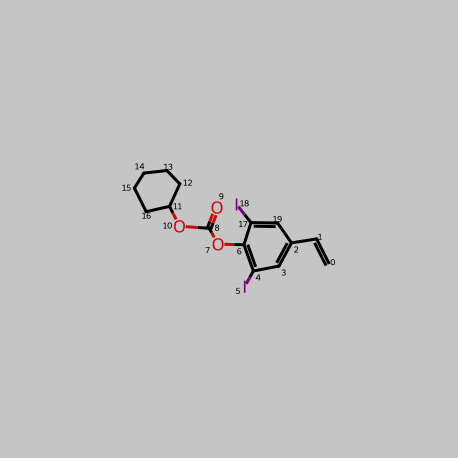 C=Cc1cc(I)c(OC(=O)OC2CCCCC2)c(I)c1